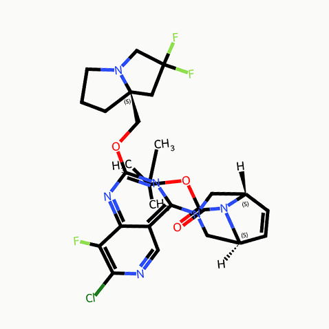 CC(C)(C)OC(=O)N1[C@H]2C=C[C@H]1CN(c1nc(OC[C@@]34CCCN3CC(F)(F)C4)nc3c(F)c(Cl)ncc13)C2